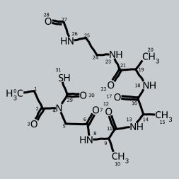 CCC(=O)N(CC(=O)NC(C)C(=O)NC(C)C(=O)NC(C)C(=O)NCCNC=O)C(=O)S